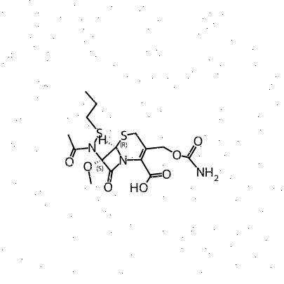 CCCSN(C(C)=O)[C@]1(OC)C(=O)N2C(C(=O)O)=C(COC(N)=O)CS[C@@H]21